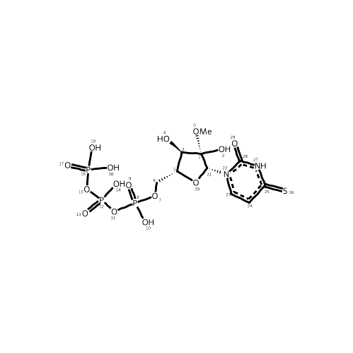 CO[C@@]1(O)[C@H](O)[C@@H](COP(=O)(O)OP(=O)(O)OP(=O)(O)O)O[C@H]1n1ccc(=S)[nH]c1=O